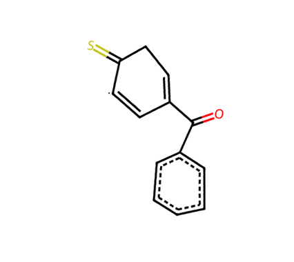 O=C(C1=CCC(=S)[C]=C1)c1ccccc1